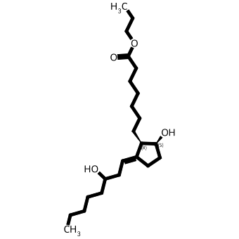 CCCCCC(O)CC=C1CC[C@H](O)[C@@H]1CCCCCCC(=O)OCCC